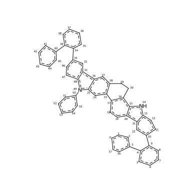 c1ccc(-c2ccccc2-c2ccc3[nH]c4c5c(ccc4c3c2)-c2cc3c(cc2CC5)c2cc(-c4ccccc4-c4ccccc4)ccc2n3-c2ccccc2)cc1